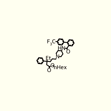 CCCCCCOC(=O)CC(CC)(CCCN1CCC(NC(=O)c2ccccc2-c2ccc(C(F)(F)F)cc2)CC1)c1ccccc1